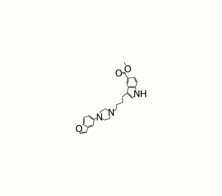 COC(=O)c1ccc2[nH]cc(CCCCN3CCN(c4ccc5occc5c4)CC3)c2c1